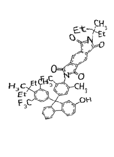 CCC(C)(CC)c1c(C)cc(C2(c3cc(C)c(-n4c(=O)c5cc6c(=O)n(C(C)(CC)CC)c(=O)c6cc5c4=O)c(C(F)(F)F)c3)c3ccccc3-c3ccc(O)cc32)cc1C(F)(F)F